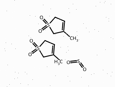 CC1=CCS(=O)(=O)C1.CC1=CCS(=O)(=O)C1.O=S=O